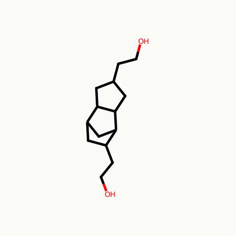 OCCC1CC2C3CC(CCO)C(C3)C2C1